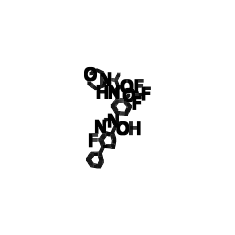 CC(C(=O)Nc1cc(N2C=Nc3c(ccc(-c4ccccc4)c3F)C2O)ccc1OC(F)(F)F)N1CCCOCC1